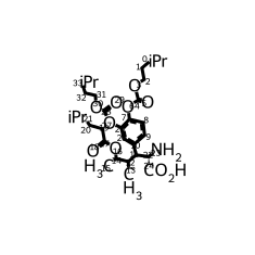 CC(C)CCOC(=O)Oc1ccc(C(C(C)C(C)OC(=O)CCC(C)C)[C@H](N)C(=O)O)cc1OC(=O)OCCC(C)C